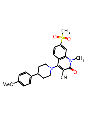 COc1ccc(C2CCN(c3c(C#N)c(=O)n(C)c4cc(S(C)(=O)=O)ccc34)CC2)cc1